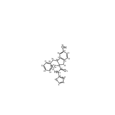 CC1(C(=O)Nc2nccs2)Cc2ccc(O)cc2C1Cc1ccccc1